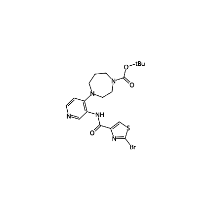 CC(C)(C)OC(=O)N1CCCN(c2ccncc2NC(=O)c2csc(Br)n2)CC1